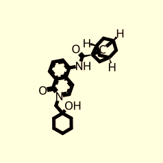 O=C(Nc1cccc2c(=O)n(CC3(O)CCCCC3)ccc12)[C@@]12C[C@@H]3C[C@@H](C[C@@H]1C3)C2